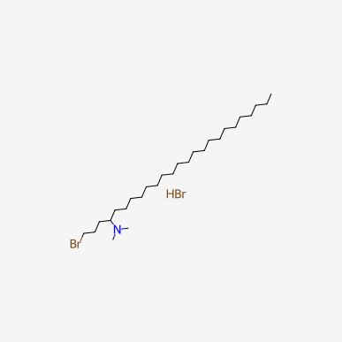 Br.CCCCCCCCCCCCCCCCCCCCCC(CCCBr)N(C)C